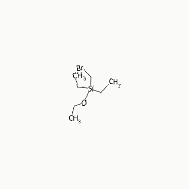 CCO[Si](CC)(CC)CBr